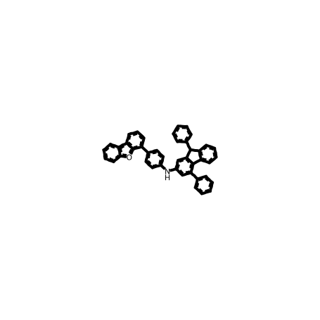 c1ccc(-c2cc(Nc3ccc(-c4cccc5c4oc4ccccc45)cc3)cc3c2-c2ccccc2C3c2ccccc2)cc1